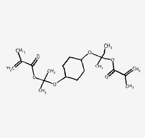 C=C(C)C(=O)OC(C)(C)OC1CCC(OC(C)(C)OC(=O)C(=C)C)CC1